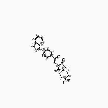 O=C(CN1C(=O)NC2(CCC(F)(F)CC2)C1=O)c1ccc(-n2ccc3cccnc32)nc1